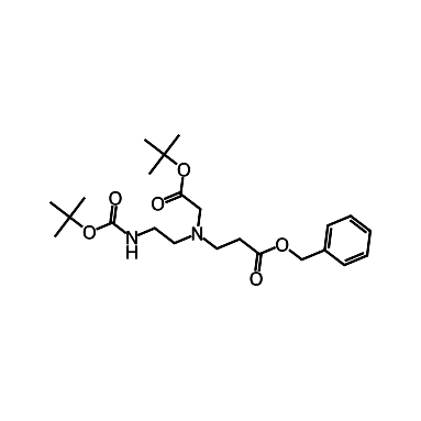 CC(C)(C)OC(=O)CN(CCNC(=O)OC(C)(C)C)CCC(=O)OCc1ccccc1